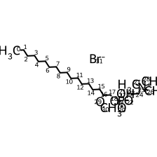 CCCCCCCCCCCCCCCCC(COP(=O)(O)OCC[N+](C)(C)C)OC.[Br-]